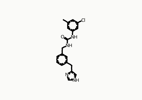 Cc1cc(Cl)cc(NC(=O)NCc2cccc(Cc3c[nH]cn3)c2)c1